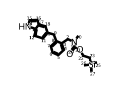 CN(Cc1ccccc1Cc1ccc2[nH]ccc2c1)C(=O)OCC[Si](C)(C)C